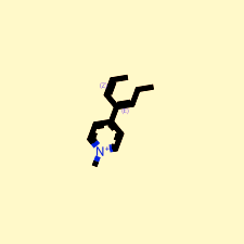 C/C=C\C(=C/CC)c1cc[n+](C)cc1